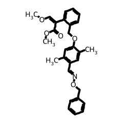 CO/C=C(\C(=O)OC)c1ccccc1COc1cc(C)c(/C=N/OCc2ccccc2)cc1C